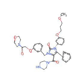 COCCCOc1cccc(-n2c(-c3ccccc3)c(C(=O)N3CCNCC3)n(Cc3cccc(OCC(=O)N4CCOCC4)c3)c2=O)c1